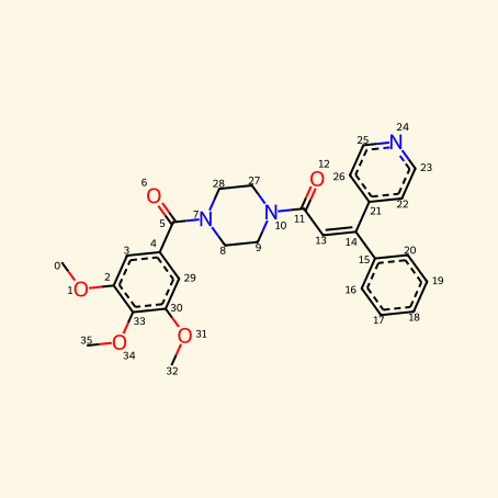 COc1cc(C(=O)N2CCN(C(=O)C=C(c3ccccc3)c3ccncc3)CC2)cc(OC)c1OC